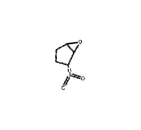 O=[SH](=O)C1CCC2OC21